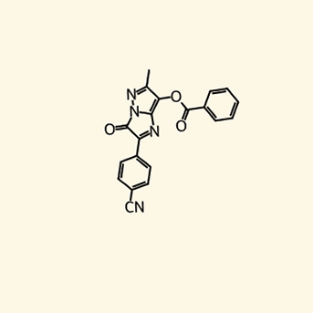 Cc1nn2c(c1OC(=O)c1ccccc1)N=C(c1ccc(C#N)cc1)C2=O